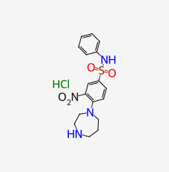 Cl.O=[N+]([O-])c1cc(S(=O)(=O)Nc2ccccc2)ccc1N1CCCNCC1